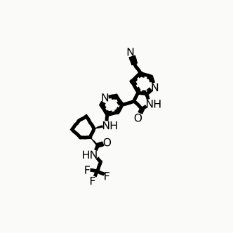 N#Cc1cnc2c(c1)C(c1cncc(N[C@@H]3CCCC[C@@H]3C(=O)NCC(F)(F)F)c1)C(=O)N2